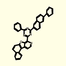 c1ccc(-c2ccc3cc(-c4nc(-c5ccccc5)nc(-c5nccc6c5oc5ccc7ccccc7c56)n4)ccc3c2)cc1